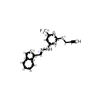 C#CCSc1nc(N/N=C/c2scc3ccccc23)cc(C(F)(F)F)n1